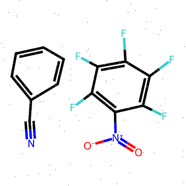 N#Cc1ccccc1.O=[N+]([O-])c1c(F)c(F)c(F)c(F)c1F